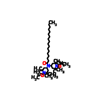 CCCCCCCCCCCCCCCCCC(=O)N(C1CC(C)(C)N(OCC)C(C)(C)C1)C1CC(C)(C)N(OCC)C(C)(C)C1